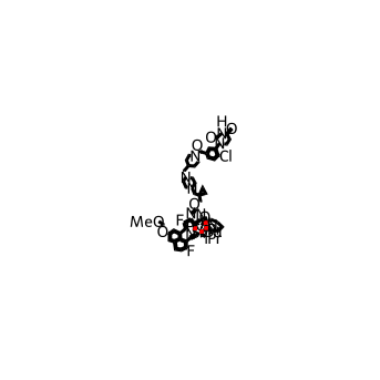 COCOc1cc(-c2ncc3c(N4CC5CCC(C4)N5C(=O)OC(C)(C)C)nc(OCC4(CN5CCN(CC6CCN(C(=O)c7ccc(Cl)c(N8CCC(=O)NC8=O)c7)CC6)CC5)CC4)nc3c2F)c2c(C#C[Si](C(C)C)(C(C)C)C(C)C)c(F)ccc2c1